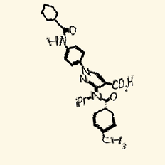 CC(C)N(c1nn(-c2ccc(NC(=O)C3CCCCC3)cc2)cc1C(=O)O)C(=O)[C@H]1CC[C@H](C)CC1